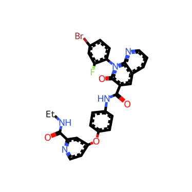 CCNC(=O)c1cc(Oc2ccc(NC(=O)c3cc4cccnc4n(-c4ccc(Br)cc4F)c3=O)cc2)ccn1